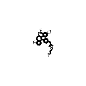 FCCCN1CC(Cc2ccc(C3=C(c4ccc(Cl)cc4C(F)F)CCCc4c(F)cccc43)cc2)C1